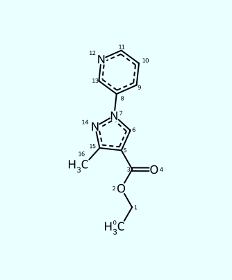 CCOC(=O)c1cn(-c2cccnc2)nc1C